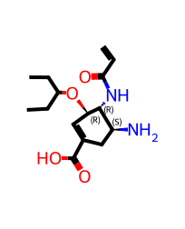 C=CC(=O)N[C@@H]1[C@@H](N)CC(C(=O)O)=C[C@H]1OC(CC)CC